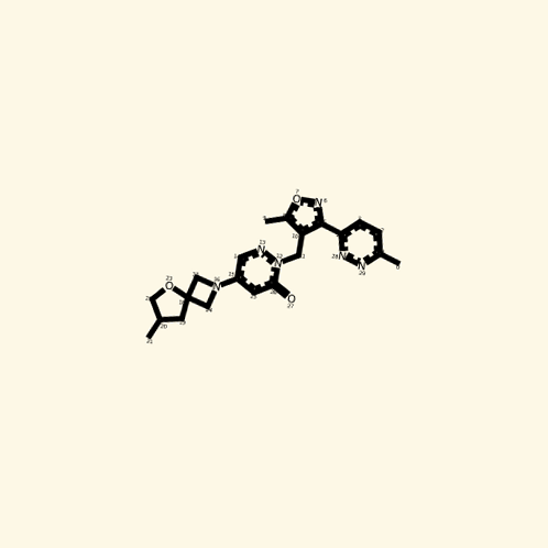 Cc1ccc(-c2noc(C)c2Cn2ncc(N3CC4(CC(C)CO4)C3)cc2=O)nn1